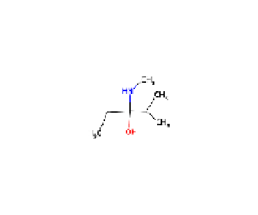 CCC(O)(NC)C(C)C